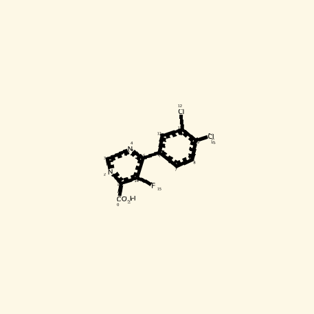 O=C(O)c1ncnc(-c2ccc(Cl)c(Cl)c2)c1F